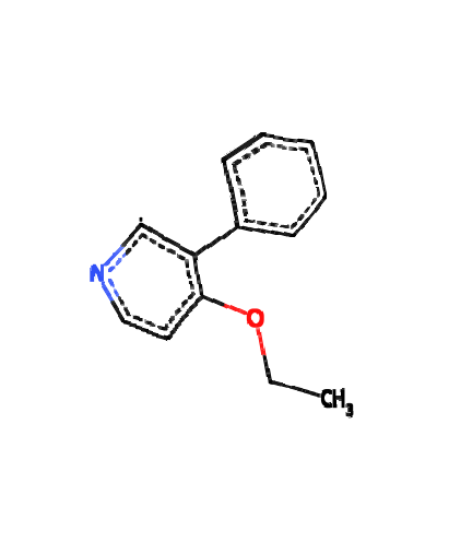 CCOc1ccn[c]c1-c1ccccc1